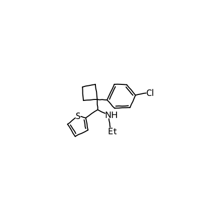 CCNC(c1cccs1)C1(c2ccc(Cl)cc2)CCC1